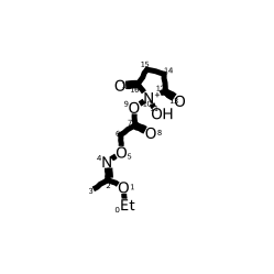 CCOC(C)=NOCC(=O)O[N+]1(O)C(=O)CCC1=O